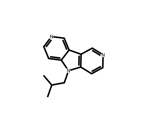 CC(C)Cn1c2ccncc2c2cnccc21